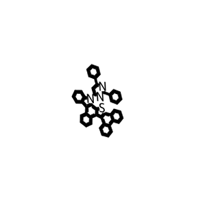 c1ccc(-c2cc(-n3c4ccccc4c4c5ccccc5c5c(sc6c7ccccc7c7ccccc7c65)c43)nc(-c3ccccc3)n2)cc1